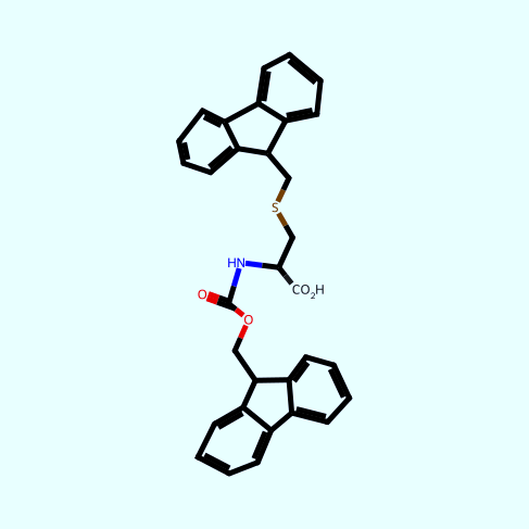 O=C(NC(CSCC1c2ccccc2-c2ccccc21)C(=O)O)OCC1c2ccccc2-c2ccccc21